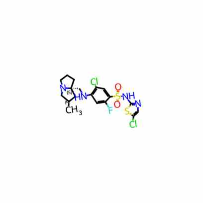 C[C@H]1CN2CCC[C@@]2(CNc2cc(F)c(S(=O)(=O)Nc3ncc(Cl)s3)cc2Cl)C1